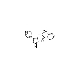 CC(Cc1n[nH]cc1-c1ccncc1)C(=O)c1ccccc1